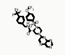 CCC(F)(F)c1ccc(CNC(=O)[C@H]2CN(c3cnc4cncnc4n3)CCN2S(=O)(=O)c2ccc(OC(F)(F)F)cc2)cc1